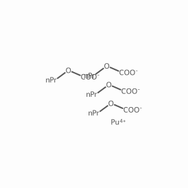 CCCOC(=O)[O-].CCCOC(=O)[O-].CCCOC(=O)[O-].CCCOC(=O)[O-].[Pu+4]